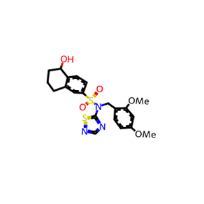 COc1ccc(CN(c2ncns2)S(=O)(=O)c2ccc3c(c2)CCCC3O)c(OC)c1